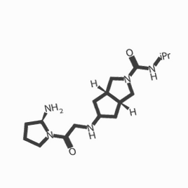 CC(C)NC(=O)N1C[C@H]2CC(NCC(=O)N3CCC[C@H]3N)C[C@H]2C1